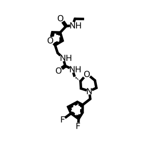 CCNC(=O)c1coc(CNC(=O)NC[C@H]2CN(Cc3ccc(F)c(F)c3)CCO2)c1